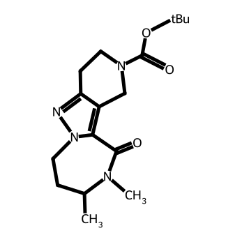 CC1CCn2nc3c(c2C(=O)N1C)CN(C(=O)OC(C)(C)C)CC3